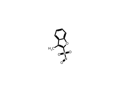 Cc1c(S(=O)(=O)N=O)oc2ccccc12